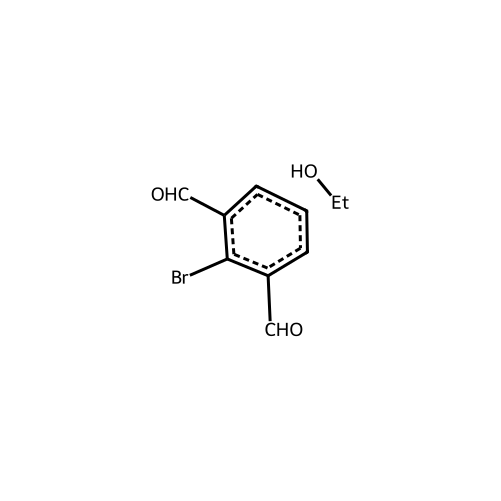 CCO.O=Cc1cccc(C=O)c1Br